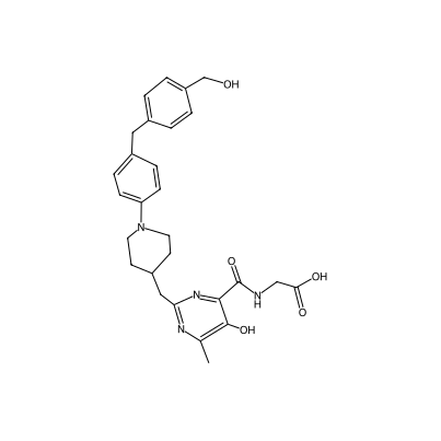 Cc1nc(CC2CCN(c3ccc(Cc4ccc(CO)cc4)cc3)CC2)nc(C(=O)NCC(=O)O)c1O